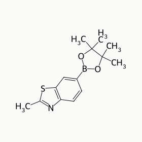 Cc1nc2ccc(B3OC(C)(C)C(C)(C)O3)cc2s1